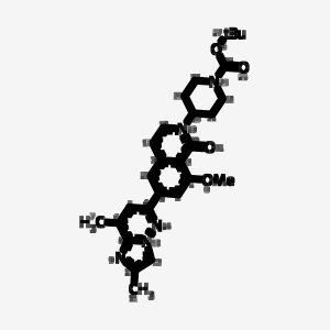 COc1cc(-c2cc(C)c3nc(C)cn3n2)cc2ccn(C3CCN(C(=O)OC(C)(C)C)CC3)c(=O)c12